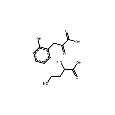 NC(CCO)C(=O)O.O=C(O)C(=O)Cc1ccccc1O